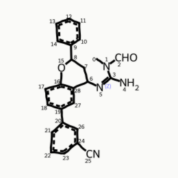 CN(C=O)/C(N)=N\C1CC(c2ccccc2)Oc2ccc(-c3cccc(C#N)c3)cc21